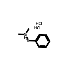 C[SiH](C)[Ti][c]1ccccc1.Cl.Cl